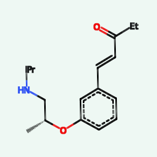 CCC(=O)/C=C/c1cccc(O[C@H](C)CNC(C)C)c1